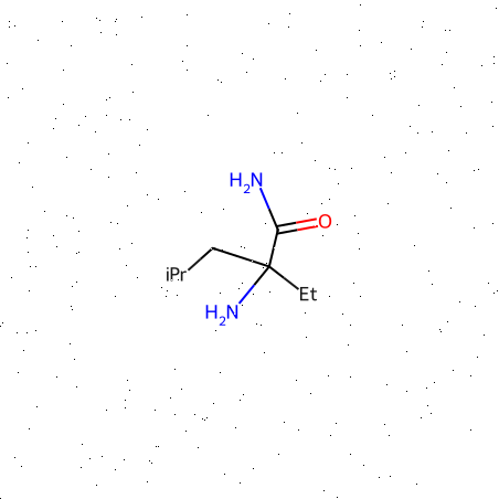 CCC(N)(CC(C)C)C(N)=O